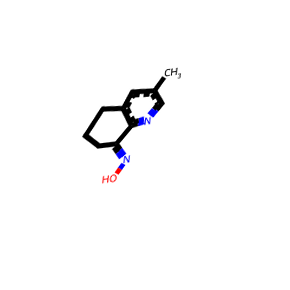 Cc1cnc2c(c1)CCCC2=NO